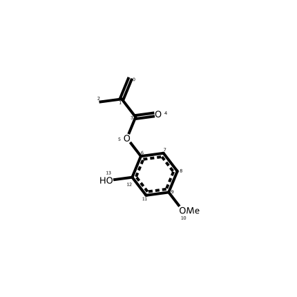 C=C(C)C(=O)Oc1ccc(OC)cc1O